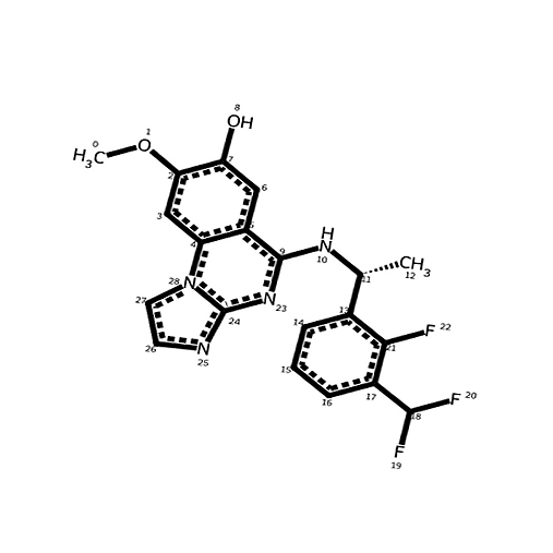 COc1cc2c(cc1O)c(N[C@H](C)c1cccc(C(F)F)c1F)nc1nccn12